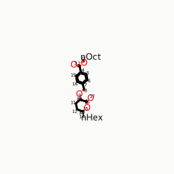 CCCCCCCCOC(=O)c1ccc(CO[C@H]2CC[C@H](CCCCCC)OC2=O)cc1